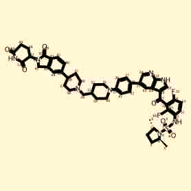 C[C@H]1CC[C@H](C)N1S(=O)(=O)Nc1ccc(F)c(C(=O)c2c[nH]c3ncc(-c4ccc(N5CCC(CN6CCC(c7ccc8c(c7)CN(C7CCC(=O)NC7=O)C8=O)CC6)CC5)cc4)cc23)c1F